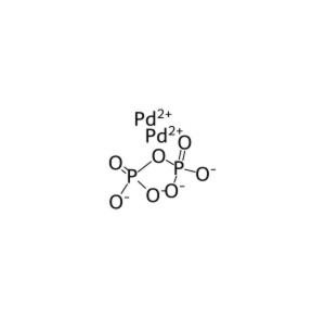 O=P([O-])([O-])OP(=O)([O-])[O-].[Pd+2].[Pd+2]